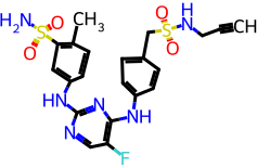 C#CCNS(=O)(=O)Cc1ccc(Nc2nc(Nc3ccc(C)c(S(N)(=O)=O)c3)ncc2F)cc1